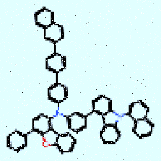 c1ccc(-c2ccc(N(c3ccc(-c4ccc(-c5ccc6ccccc6c5)cc4)cc3)c3cccc(-c4cccc5c4c4ccccc4n5-c4cccc5ccccc45)c3)c3c2oc2ccccc23)cc1